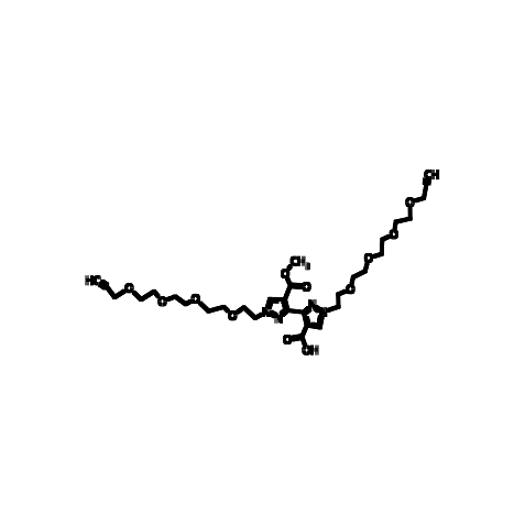 C#CCOCCOCCOCCOCCn1cc(C(=O)O)c(-c2nn(CCOCCOCCOCCOCC#C)cc2C(=O)OC)n1